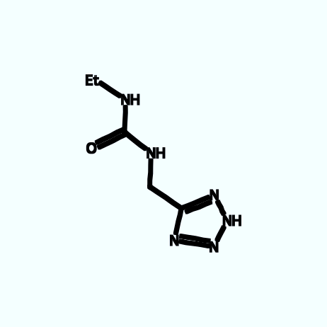 CCNC(=O)NCc1nn[nH]n1